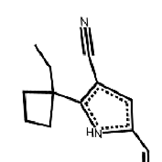 C=Cc1cc(C#N)c(C2(CC)CCC2)[nH]1